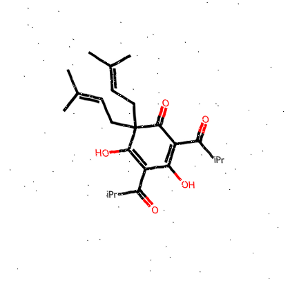 CC(C)=CCC1(CC=C(C)C)C(=O)C(C(=O)C(C)C)=C(O)C(C(=O)C(C)C)=C1O